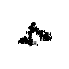 CC[C@@]1(O)C(=O)OCc2c1cc1n(c2=O)Cc2c-1nc1cc(F)c(C)c3c1c2C(CCCCOCNC(=O)CNC(=O)[C@H](Cc1ccccc1)NC(=O)CNC(=O)CNC(=O)[C@@H](N)CCC(=O)NC[C@@H]1O[C@H](CO)[C@@H](O)[C@H](O)[C@H]1O)CC3